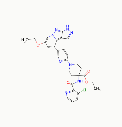 CCOC(=O)C1(NC(=O)c2ncccc2Cl)CCN(c2ccc(-c3cc(OCC)cn4nc5[nH]ncc5c34)cn2)CC1